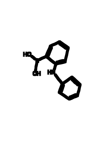 OB(O)c1ccccc1Nc1ccccc1